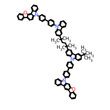 CC(C)(C)c1ccc2c(c1)c1cc(C(C)(C)CCC(C)(C)c3ccc4c(c3)c3ccccc3n4-c3ccc(-c4ccc(-n5c6ccccc6c6c7oc8ccccc8c7ccc65)cc4)cc3)ccc1n2-c1ccc(-c2ccc(-n3c4ccccc4c4cc5c(cc43)oc3ccccc35)cc2)cc1